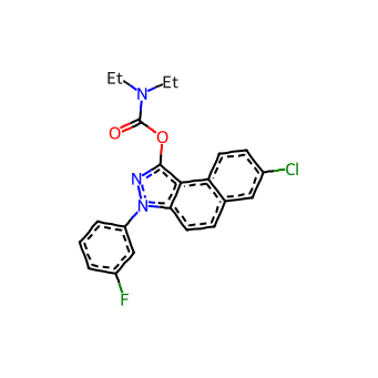 CCN(CC)C(=O)Oc1nn(-c2cccc(F)c2)c2ccc3cc(Cl)ccc3c12